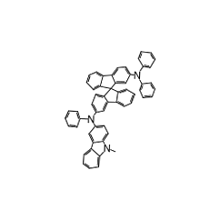 Cn1c2ccccc2c2cc(N(c3ccccc3)c3ccc4c(c3)-c3ccccc3C43c4ccccc4-c4ccc(N(c5ccccc5)c5ccccc5)cc43)ccc21